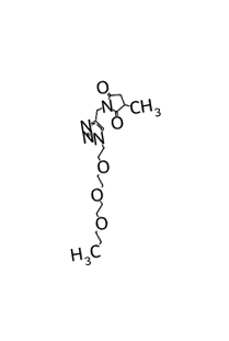 CCCOCCOCCOCCn1cc(CN2C(=O)CC(C)C2=O)nn1